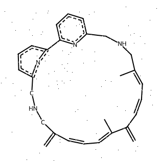 C=C1/C=C\C=C(/C)C(=C)/C=C\C=C(/C)CNCc2cccc(n2)-c2cccc(n2)CNC1